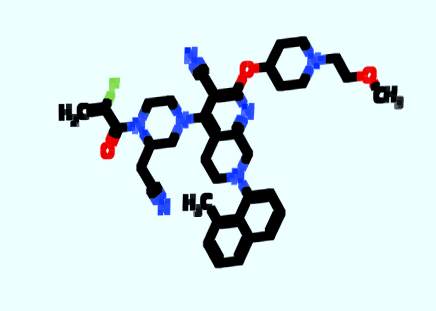 C=C(F)C(=O)N1CCN(c2c(C#N)c(OC3CCN(CCOC)CC3)nc3c2CCN(c2cccc4cccc(C)c24)C3)CC1CC#N